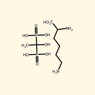 CC(O)(P(=O)(O)O)P(=O)(O)O.NCCCCC(N)C(=O)O